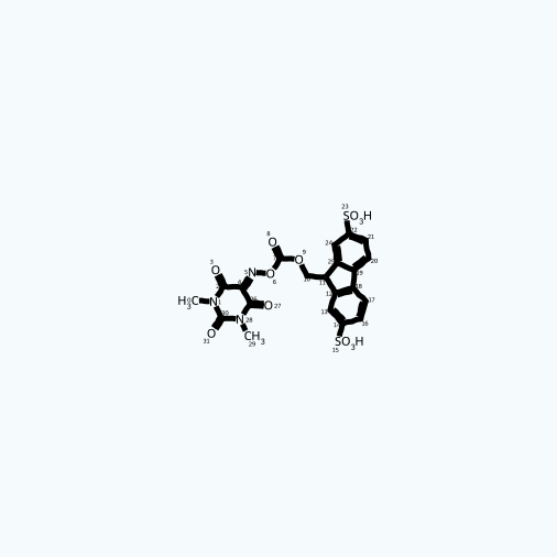 CN1C(=O)C(=NOC(=O)OCC2c3cc(S(=O)(=O)O)ccc3-c3ccc(S(=O)(=O)O)cc32)C(=O)N(C)C1=O